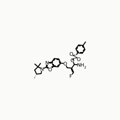 Cc1ccc(S(=O)(=O)OC(N)/C(=C/F)COc2ccc3nc(N4C[C@H](C)CC4(C)C)oc3c2)cc1